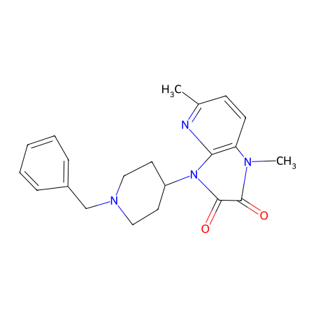 Cc1ccc2c(n1)n(C1CCN(Cc3ccccc3)CC1)c(=O)c(=O)n2C